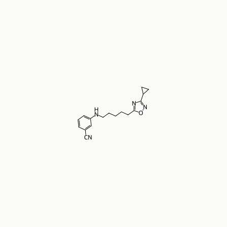 N#Cc1cccc(NCCCCCc2nc(C3CC3)no2)c1